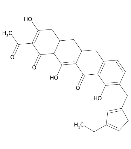 CCC1=CCC(Cc2ccc3c(c2O)C(=O)C2=C(O)C4C(=O)C(C(C)=O)=C(O)CC4CC2C3)=C1